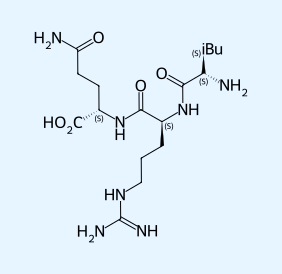 CC[C@H](C)[C@H](N)C(=O)N[C@@H](CCCNC(=N)N)C(=O)N[C@@H](CCC(N)=O)C(=O)O